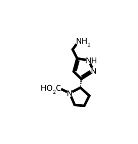 NCc1cc([C@@H]2CCCN2C(=O)O)n[nH]1